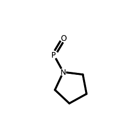 O=PN1CCCC1